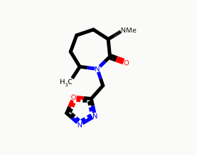 CNC1CCCC(C)N(Cc2nnco2)C1=O